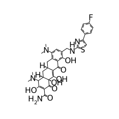 CN(C)c1cc(CNc2nc(-c3ccc(F)cc3)cs2)c(O)c2c1C[C@H]1C[C@H]3C(N(C)C)C(O)=C(C(N)=O)C(=O)[C@@]3(O)C(O)=C1C2=O